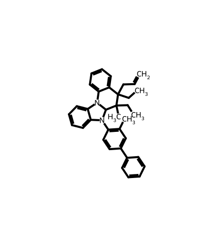 C=CCC1(CC)c2ccccc2N2c3ccccc3N(c3ccc(-c4ccccc4)cc3C)C2C1(C)CC